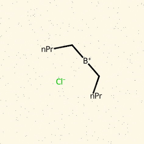 CCCC[B+]CCCC.[Cl-]